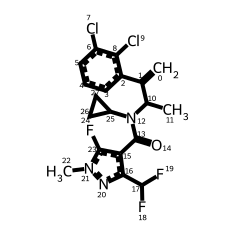 C=C(c1cccc(Cl)c1Cl)C(C)N(C(=O)c1c(C(F)F)nn(C)c1F)C1CC1